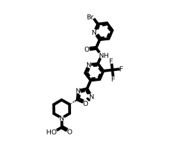 O=C(Nc1ncc(-c2noc([C@H]3CCCN(C(=O)O)C3)n2)cc1C(F)(F)F)c1cccc(Br)n1